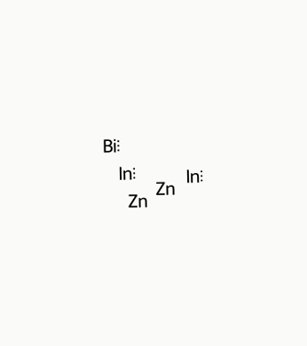 [Bi].[In].[In].[Zn].[Zn]